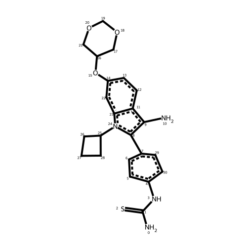 NC(=S)Nc1ccc(-c2c(N)c3ccc(OC4COCOC4)cc3n2C2CCC2)cc1